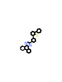 C1=Cc2c(c3ccccc3c3nc(-c4cccc(-c5cccc6c5sc5ccccc56)c4)cnc23)CC1